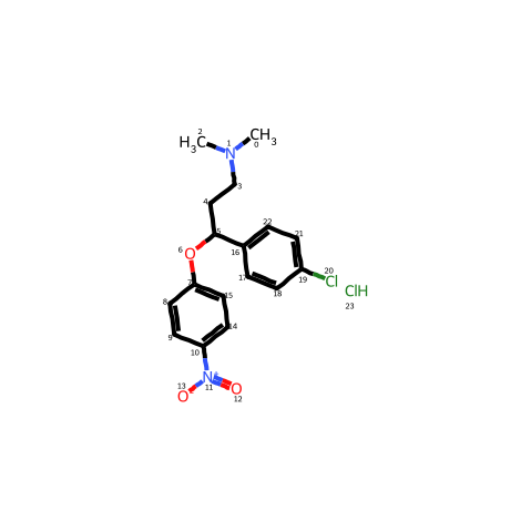 CN(C)CCC(Oc1ccc([N+](=O)[O-])cc1)c1ccc(Cl)cc1.Cl